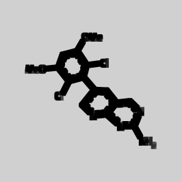 COc1cc(OC)c(Cl)c(-c2cnc3nc(N)ncc3c2)c1Cl